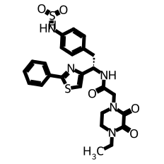 CCN1CCN(CC(=O)N[C@@H](Cc2ccc(N[SH](=O)=O)cc2)c2csc(-c3ccccc3)n2)C(=O)C1=O